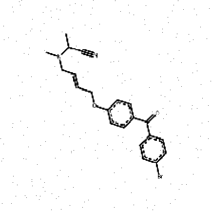 CC(C#N)N(C)CC=CCOc1ccc(C(=O)c2ccc(Br)cc2)cc1